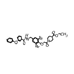 CCOC(=O)C1CCN(C(=O)COc2c(Br)cc(/C=N/NC(=O)c3cccc(Oc4ccccc4)c3)cc2Br)CC1